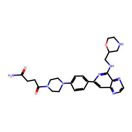 NC(=O)CCC(=O)N1CCN(c2ccc(-c3cc4nccnc4c(NCC4CNCCO4)n3)cc2)CC1